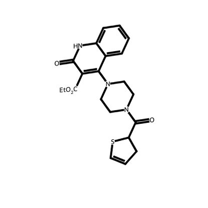 CCOC(=O)c1c(N2CCN(C(=O)C3CC=CS3)CC2)c2ccccc2[nH]c1=O